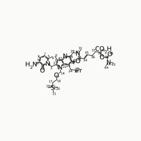 Cc1c(Cn2c(C)ccc(N)c2=O)n(COCC[Si](C)(C)C)c2c(CC(C)C)c(F)c(CN(C)C(=O)/C=C/CC[C@H](OC(=O)N(C)C)C(=O)O)nc12